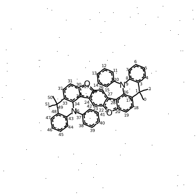 CC1(C)c2ccccc2N(c2ccccc2)c2c1ccc1oc3cc4c(cc3c21)oc1ccc2c(c14)N(c1ccccc1)c1ccccc1C2(C)C